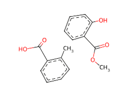 COC(=O)c1ccccc1O.Cc1ccccc1C(=O)O